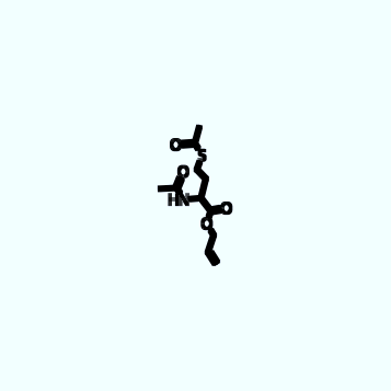 C=CCOC(=O)C(CCSC(C)=O)NC(C)=O